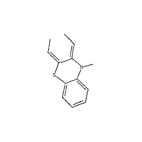 C/C=C1/Sc2ccccc2N(C)/C1=C/C